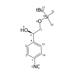 [C-]#[N+]c1ccc([C@@H](O)CO[Si](C)(C)C(C)(C)C)cc1